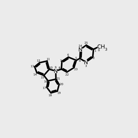 Cc1cnc(-c2ccc(-n3c4ccccc4c4ccccc43)cc2)nc1